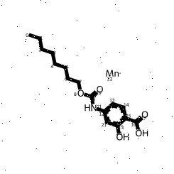 CCCCCCCCOC(=O)Nc1ccc(C(=O)O)c(O)c1.[Mn]